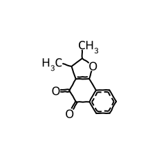 CC1OC2=C(C(=O)C(=O)c3ccccc32)C1C